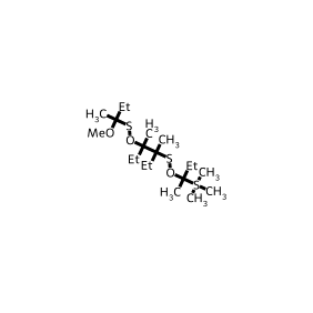 CCC(C)(OC)SOC(C)(CC)C(C)(CC)SOC(C)(CC)S(C)(C)C